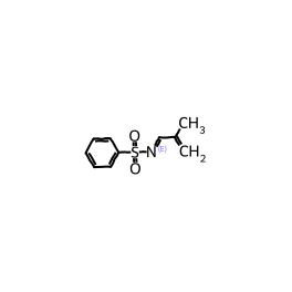 C=C(C)/C=N/S(=O)(=O)c1ccccc1